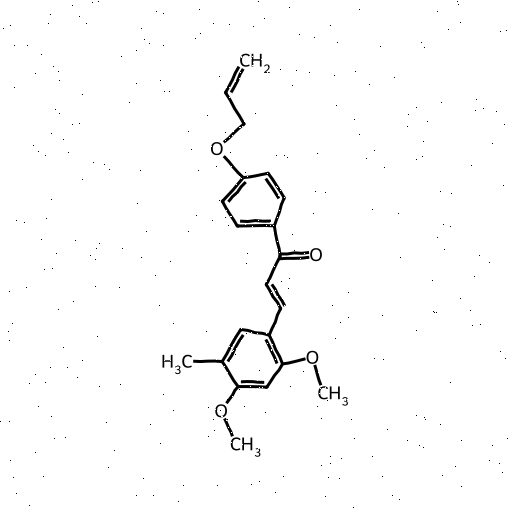 C=CCOc1ccc(C(=O)C=Cc2cc(C)c(OC)cc2OC)cc1